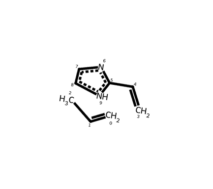 C=CC.C=Cc1ncc[nH]1